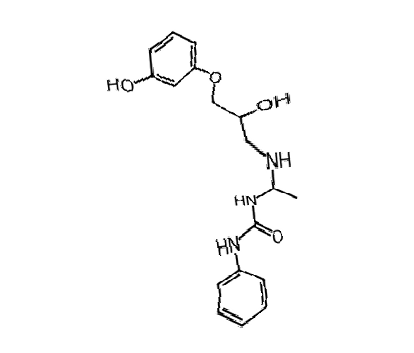 CC(NCC(O)COc1cccc(O)c1)NC(=O)Nc1ccccc1